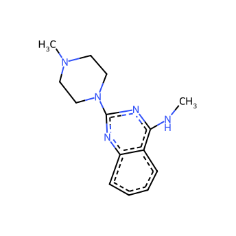 CNc1nc(N2CCN(C)CC2)nc2ccccc12